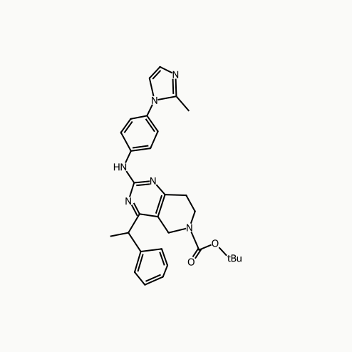 Cc1nccn1-c1ccc(Nc2nc3c(c(C(C)c4ccccc4)n2)CN(C(=O)OC(C)(C)C)CC3)cc1